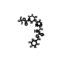 CC(C)(C)OC(=O)N1CCC[C@H](c2csc(CNC(=O)OCc3ccccc3)n2)C1